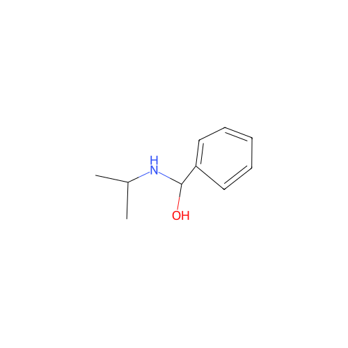 CC(C)NC(O)c1ccccc1